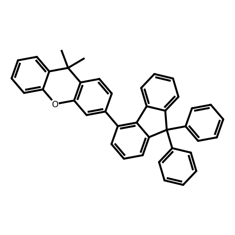 CC1(C)c2ccccc2Oc2cc(-c3cccc4c3-c3ccccc3C4(c3ccccc3)c3ccccc3)ccc21